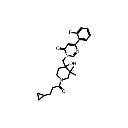 CC1(C)CN(C(=O)CCC2CC2)CCC1(O)Cn1cnc(-c2ccccc2F)cc1=O